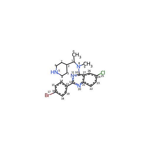 CC(C1CCNCC1)N(C)c1nc(-c2ccc(Br)cc2)nc2ccc(Cl)cc12